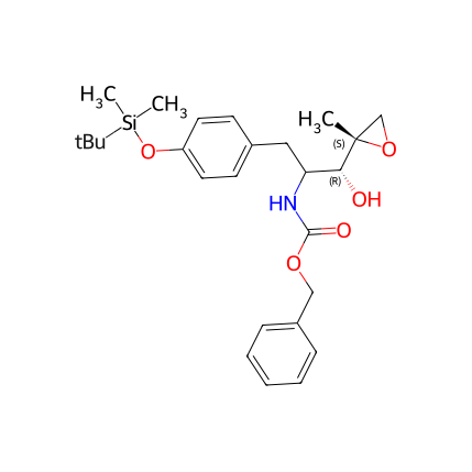 CC(C)(C)[Si](C)(C)Oc1ccc(CC(NC(=O)OCc2ccccc2)[C@@H](O)[C@]2(C)CO2)cc1